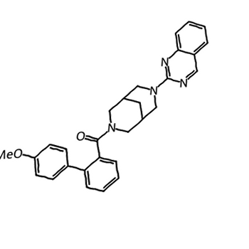 COc1ccc(-c2ccccc2C(=O)N2CC3CC(C2)CN(c2ncc4ccccc4n2)C3)cc1